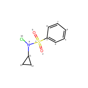 O=S(=O)(c1ccccc1)N(Cl)C1CC1